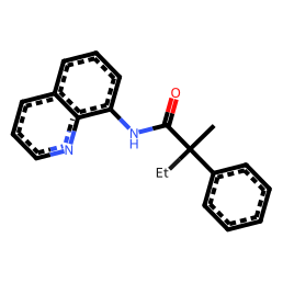 CCC(C)(C(=O)Nc1cccc2cccnc12)c1ccccc1